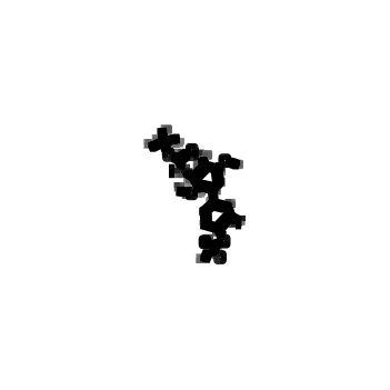 COc1cc(-c2ccc(OS(C)(=O)=O)c(F)c2)c(OC)c(NC(=O)OC(C)(C)C)c1Br